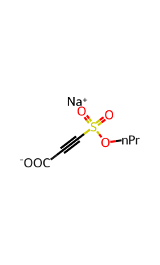 CCCOS(=O)(=O)C#CC(=O)[O-].[Na+]